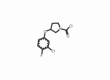 O=C(Cl)N1CCC(Oc2ccc(F)c(Cl)c2)C1